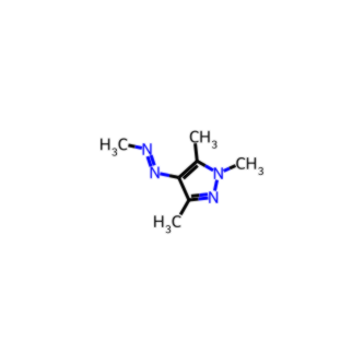 CN=Nc1c(C)nn(C)c1C